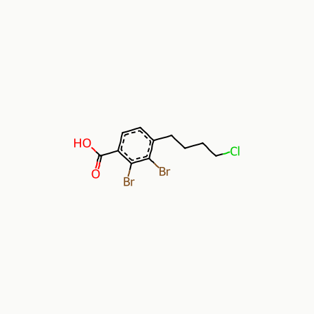 O=C(O)c1ccc(CCCCCl)c(Br)c1Br